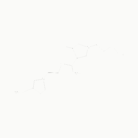 CCC(C)OCCN1CC(F)C(C(OCCN2CCC(OC)C2)SC)C1